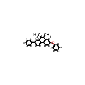 Cc1c(C)c2cc(-c3ccccc3)ccc2c2ccc(Oc3ccccc3)cc12